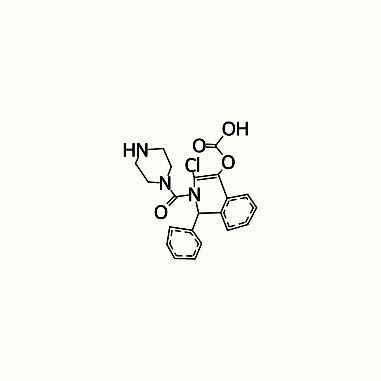 O=C(O)OC1=C(Cl)N(C(=O)N2CCNCC2)C(c2ccccc2)c2ccccc21